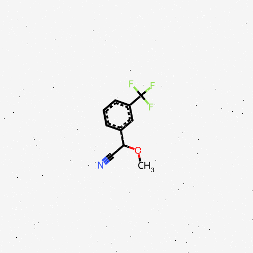 COC(C#N)c1cccc(C(F)(F)F)c1